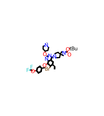 C=Cc1cc2c(N3CCC4(CC3)CN(C(=O)OC(C)(C)C)C4)nc(OC3CCN(C)CC3)nc2c(OCc2ccc(OC(F)F)cc2)c1Br